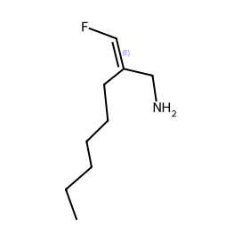 CCCCCC/C(=C\F)CN